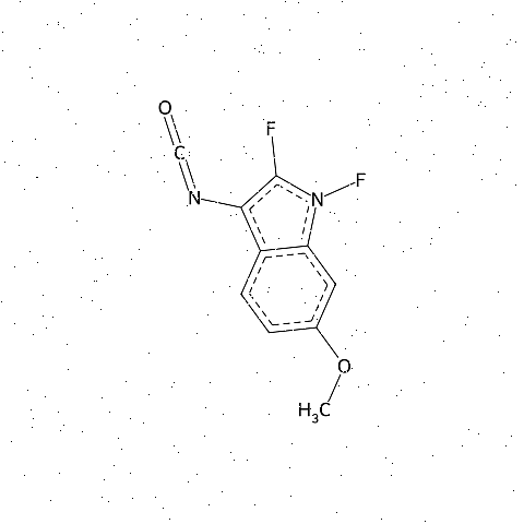 COc1ccc2c(N=C=O)c(F)n(F)c2c1